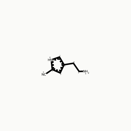 N#Cc1cc(CCN)c[nH]1